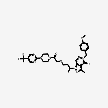 COc1ccc(Cn2ncc3c(c(C)nn3C(C)CCOCC(=O)N3CCN(c4ncc(C(F)(F)F)cn4)CC3)c2=O)cc1